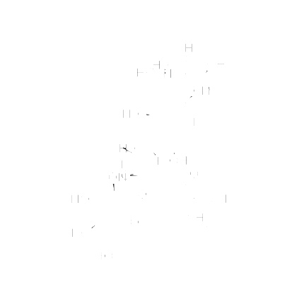 C=C(C)C(=O)CC[C@](C)(O[C@@H]1O[C@H](CO)[C@@H](O)[C@H](O)[C@H]1O)[C@H]1CC[C@]2(C)[C@@H]1[C@H](O)C[C@@H]1[C@@]3(C)CC[C@H](O)C(C)(C)[C@@H]3[C@@H](O)C[C@]12C